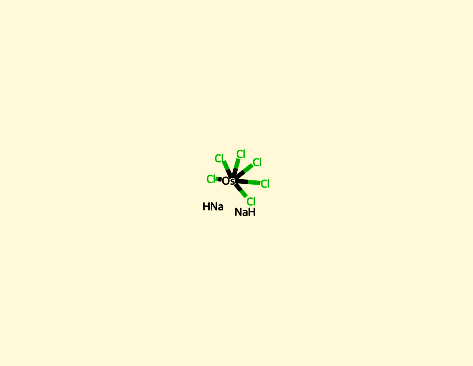 [Cl][Os]([Cl])([Cl])([Cl])([Cl])[Cl].[NaH].[NaH]